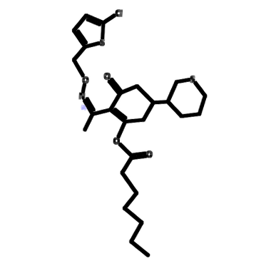 CCCCCCC(=O)OC1=C(/C(C)=N\OCc2ccc(Cl)s2)C(=O)CC(C2CCCSC2)C1